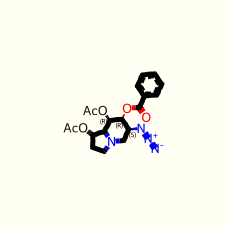 CC(=O)OC1CCN2C[C@H](N=[N+]=[N-])[C@@H](OC(=O)c3ccccc3)[C@H](OC(C)=O)C12